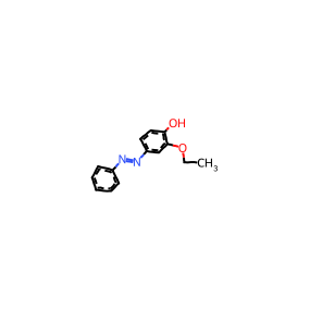 CCOc1cc(/N=N/c2ccccc2)ccc1O